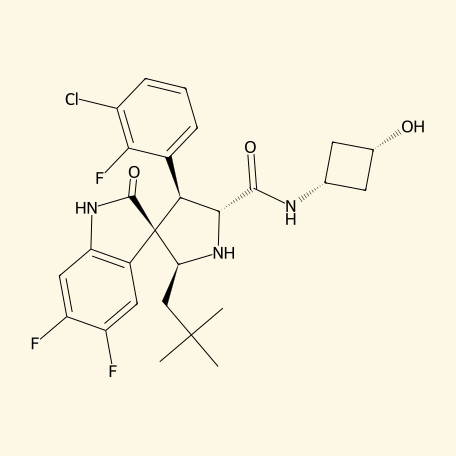 CC(C)(C)C[C@@H]1N[C@@H](C(=O)N[C@H]2C[C@@H](O)C2)[C@H](c2cccc(Cl)c2F)[C@]12C(=O)Nc1cc(F)c(F)cc12